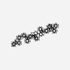 CC1CC=C(c2cccc3c2c2ccccc2n3-c2ccc3sc4c(-n5c6ccccc6c6ccccc65)nccc4c3c2)c2c1n(-c1ccc3c(c1)c1ccccc1n3-c1cccc(-c3cccc(-c4cccc5c4sc4ccccc45)c3)c1)c1ccccc21